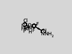 Nc1ncc(C#Cc2c(F)ccc(NS(=O)(=O)c3cc(Cl)cnc3C(F)(F)F)c2F)cn1